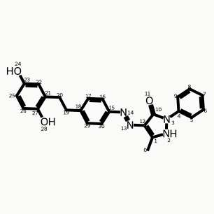 Cc1[nH]n(-c2ccccc2)c(=O)c1N=Nc1ccc(CCc2cc(O)ccc2O)cc1